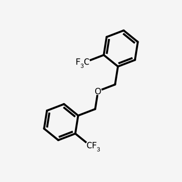 FC(F)(F)c1ccccc1COCc1ccccc1C(F)(F)F